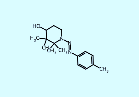 Cc1ccc(N=NN2CCC(O)C(C)(C)C2(C)C)cc1